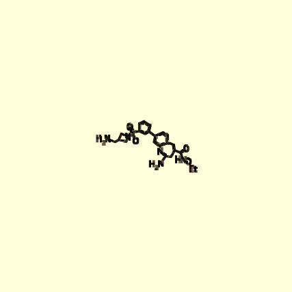 CCONC(=O)C1=Cc2ccc(-c3cccc(S(=O)(=O)N4CC(CN)C4)c3)cc2N=C(N)C1